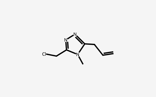 C=CCc1nnc(CCl)n1C